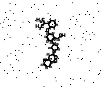 CC(C)c1ccccc1Oc1ccc(C2CCN(C(=O)Cc3ncccc3Cl)C2)c(CO)c1